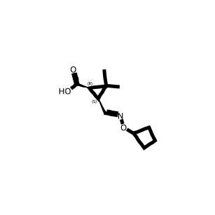 CC1(C)[C@H](C(=O)O)[C@@H]1C=NOC1CCC1